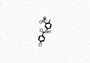 Cc1ccc(NC(=O)c2ccc(Cl)cc2)cc1[N+](=O)[O-]